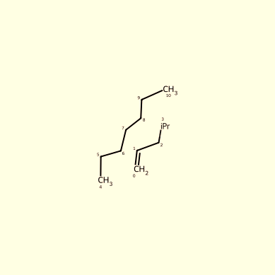 C=CCC(C)C.CCCCCCC